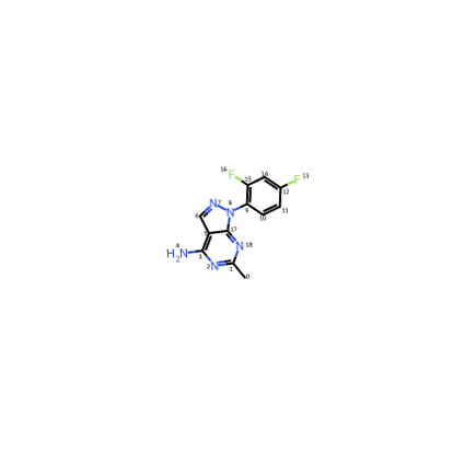 Cc1nc(N)c2cnn(-c3ccc(F)cc3F)c2n1